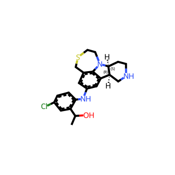 CC(O)c1cc(Cl)ccc1Nc1cc2c3c(c1)[C@@H]1CNCC[C@@H]1N3CCSC2